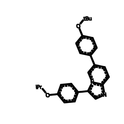 CC(C)Oc1ccc(-c2cnc3ccc(-c4ccc(OC(C)(C)C)cc4)cn23)cc1